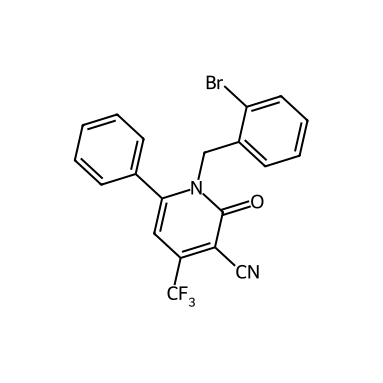 N#Cc1c(C(F)(F)F)cc(-c2ccccc2)n(Cc2ccccc2Br)c1=O